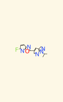 CC(C)n1ncc2cc(-c3nc4ccc(F)nc4o3)cnc21